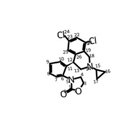 O=C1OCCN1c1ccccc1[C@@H]1CN(C2CC2)Cc2c(Cl)cc(Cl)cc21